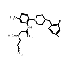 C=NCCN(C)CC(=C)Nc1cc(C)ccc1N1CCC(Cc2ccc(F)cc2F)CC1